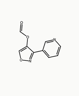 O=COc1conc1-c1cccnc1